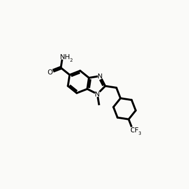 Cn1c(CC2CCC(C(F)(F)F)CC2)nc2cc(C(N)=O)ccc21